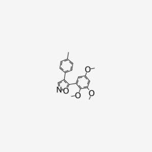 COc1cc(OC)c(OC)c(-c2oncc2-c2ccc(C)cc2)c1